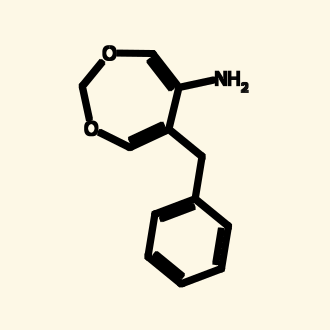 NC1=COCOC=C1Cc1ccccc1